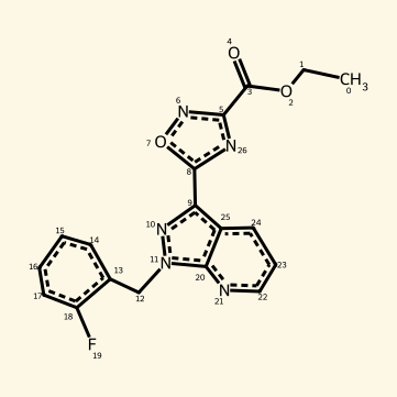 CCOC(=O)c1noc(-c2nn(Cc3ccccc3F)c3ncccc23)n1